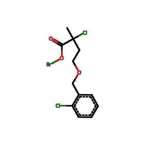 CC(Cl)(CCOCc1ccccc1Cl)C(=O)OBr